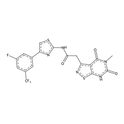 Cn1c(=O)[nH]c2snc(CC(=O)Nc3nc(-c4cc(F)cc(C(F)(F)F)c4)cs3)c2c1=O